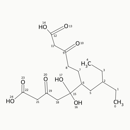 CCC(CC)CC(CCC(=O)CC(=O)O)C(O)(O)CC(=O)CC(=O)O